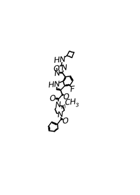 C[C@@H]1CN(C(=O)c2ccccc2)CCN1C(=O)C(=O)c1c[nH]c2c(-c3noc(NC4CCC4)n3)ccc(F)c12